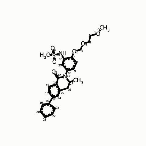 COCCOCOc1ccc(N2C(=O)c3ccc(-c4ccccc4)cc3CC2C)cc1NS(C)(=O)=O